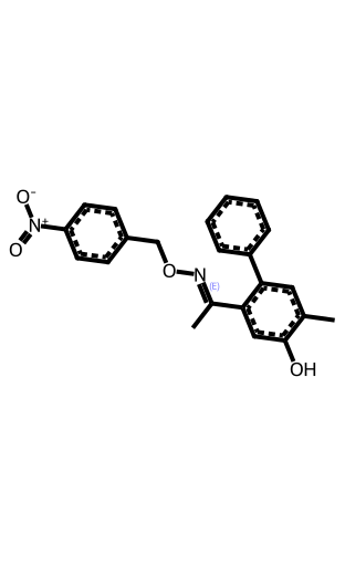 C/C(=N\OCc1ccc([N+](=O)[O-])cc1)c1cc(O)c(C)cc1-c1ccccc1